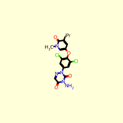 CC(C)c1cc(Oc2c(Cl)cc(-n3ncc(=O)n(N)c3=O)cc2Cl)cn(C)c1=O